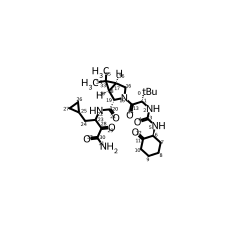 CC(C)(C)[C@H](NC(=O)N[C@H]1CCCCC1=O)C(=O)N1C[C@H]2[C@@H]([C@H]1C(=O)NC(CC1CC1)C(=O)C(N)=O)C2(C)C